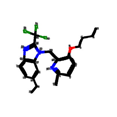 CCCCOc1ccc(C)nc1Cn1c(C(Cl)(Cl)Cl)nc2ccc(CC)cc21